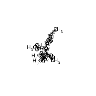 C=C(C)C(=O)OCCCc1cc(-c2ccc(OC(=O)C3CCC(CCCCC)CC3)cc2)ccc1OCC(COC(=O)CC(C)=O)(COC(=O)CC(C)=O)COC(=O)C(=C)C